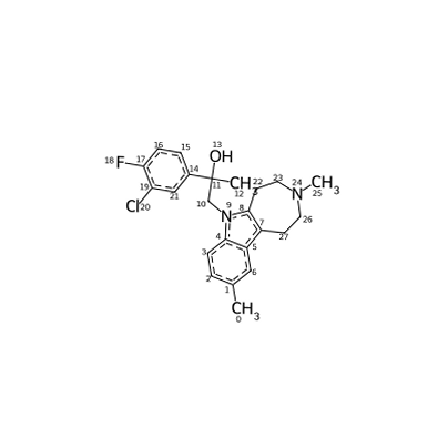 Cc1ccc2c(c1)c1c(n2CC(C)(O)c2ccc(F)c(Cl)c2)CCN(C)CC1